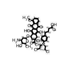 COc1cccc2c1C(=O)c1c(O)c3c(c(O)c1C2=O)C[C@@](O)(C(C)=O)C[C@@H]3O[C@H]1C[C@H](N)[C@H](O)[C@H](C)O1.O=C(O)CCCc1ccc(N(CCCl)CCCl)cc1